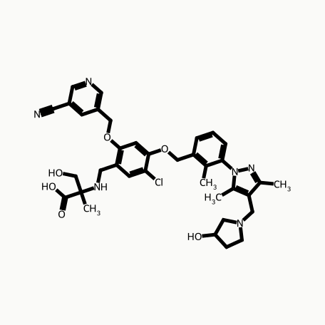 Cc1nn(-c2cccc(COc3cc(OCc4cncc(C#N)c4)c(CNC(C)(CO)C(=O)O)cc3Cl)c2C)c(C)c1CN1CCC(O)C1